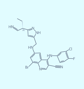 CC[C@@H](C=N)c1cc(CNc2cc(Br)c3ncc(C#N)c(Nc4ccc(F)c(Cl)c4)c3c2)[nH]n1